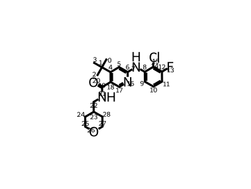 CC(C)(C)c1cc(Nc2cccc(F)c2Cl)ncc1C(=O)NCC1CCOCC1